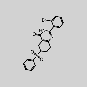 O=c1[nH]c(-c2ccccc2Br)nc2c1CC(S(=O)(=O)c1ccccc1)CC2